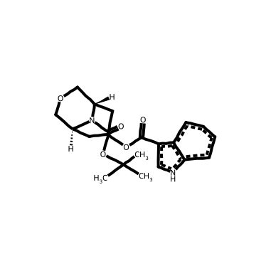 CC(C)(C)OC(=O)N1[C@@H]2COC[C@@H]1CC(OC(=O)c1c[nH]c3ccccc13)C2